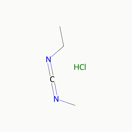 CCN=C=NC.Cl